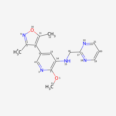 COc1ncc(-c2c(C)noc2C)cc1NCc1ncccn1